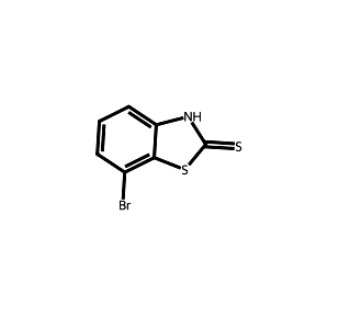 S=c1[nH]c2cccc(Br)c2s1